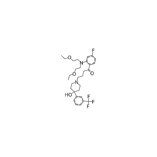 CCOCCN(CCOCC)c1cc(F)ccc1C(=O)CCCN1CCC(O)(c2cccc(C(F)(F)F)c2)CC1